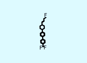 FCC/C=C/C1CCC(c2ccc(-c3ccc(C(F)F)cc3)cc2)CC1